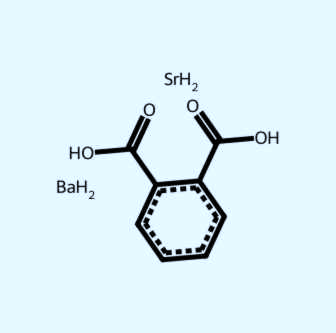 O=C(O)c1ccccc1C(=O)O.[BaH2].[SrH2]